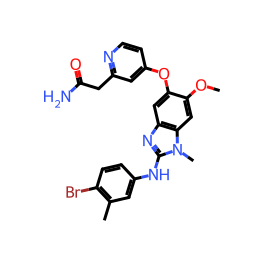 COc1cc2c(cc1Oc1ccnc(CC(N)=O)c1)nc(Nc1ccc(Br)c(C)c1)n2C